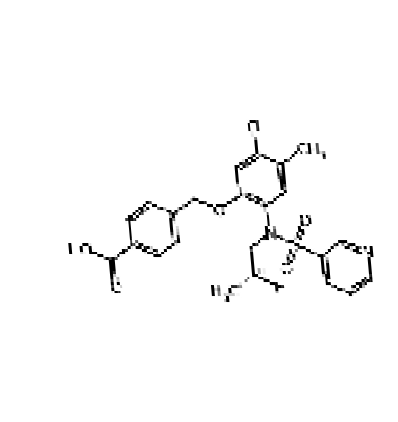 Cc1cc(N(C[C@@H](C)F)S(=O)(=O)c2cccnc2)c(OCc2ccc(C(=O)O)cc2)cc1Cl